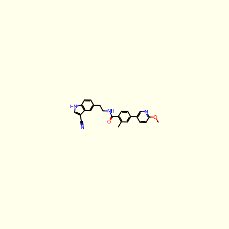 COc1ccc(-c2ccc(C(=O)NCCc3ccc4[nH]cc(C#N)c4c3)c(C)c2)cn1